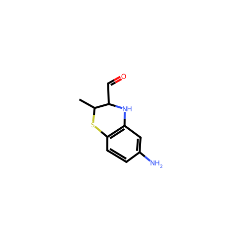 CC1Sc2ccc(N)cc2NC1C=O